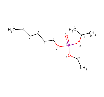 CCCCCCOP(=O)(OCC)OC(C)C